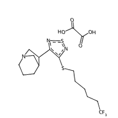 FC(F)(F)CCCCCSc1nsnc1C1CN2CCCC1C2.O=C(O)C(=O)O